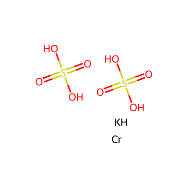 O=S(=O)(O)O.O=S(=O)(O)O.[Cr].[KH]